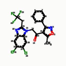 Cc1onc(-c2ccccc2)c1C(=O)Cn1c(CC(F)(F)F)nc2cc(Cl)c(Cl)cc21